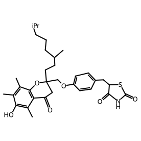 Cc1c(C)c2c(c(C)c1O)C(=O)CC(CCC(C)CCCC(C)C)(COc1ccc(CC3SC(=O)NC3=O)cc1)O2